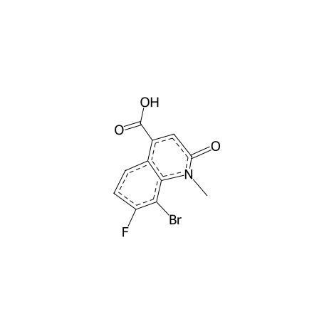 Cn1c(=O)cc(C(=O)O)c2ccc(F)c(Br)c21